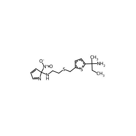 CCC(C)(N)c1ccc(CSCCNC2([N+](=O)[O-])C=CC=N2)s1